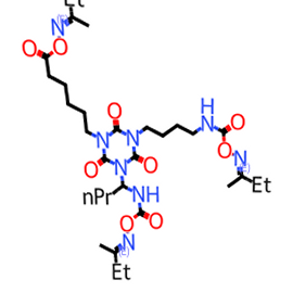 CCCC(NC(=O)O/N=C(\C)CC)n1c(=O)n(CCCCCC(=O)O/N=C(\C)CC)c(=O)n(CCCCNC(=O)O/N=C(\C)CC)c1=O